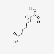 CC=CC(=O)OCCCC[SiH2]C(OCC)OCC